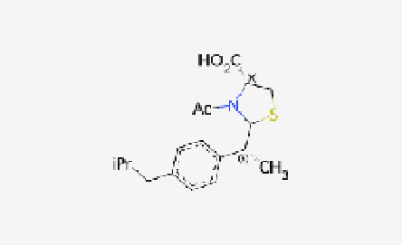 CC(=O)N1C([C@H](C)c2ccc(CC(C)C)cc2)SC[C@H]1C(=O)O